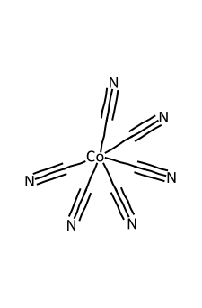 N#[C][Co]([C]#N)([C]#N)([C]#N)([C]#N)[C]#N